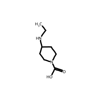 CCNC1CCN(C(=O)O)CC1